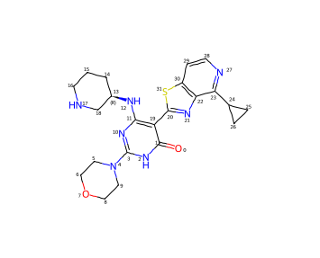 O=c1[nH]c(N2CCOCC2)nc(N[C@@H]2CCCNC2)c1-c1nc2c(C3CC3)nccc2s1